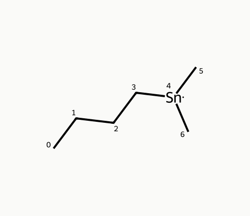 CCC[CH2][Sn]([CH3])[CH3]